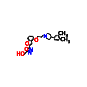 Cc1ccc(C2CCN(CCCOc3cccc4oc(-c5nnc(CO)o5)cc34)CC2)cc1C